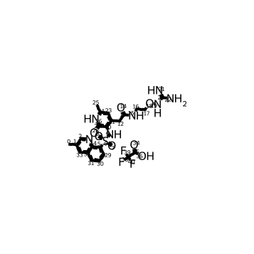 Cc1cnc2c(S(=O)(=O)Nc3c(CC(=O)NCCONC(=N)N)cc(C)[nH]c3=O)cccc2c1.O=C(O)C(F)(F)F